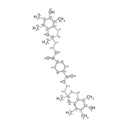 Cc1c(C)c2c(c(C)c1O)CCC(C)(CCOC(=O)c1ccc(C(=O)OCCC3(C)CCc4c(C)c(O)c(C)c(C)c4O3)cc1)O2